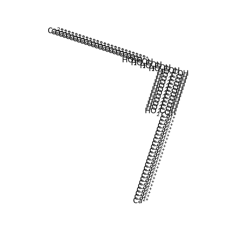 O=C(O)O.O=C(O)O.O=C(O)O.O=C(O)O.O=C(O)O.O=C(O)O.O=C(O)O.O=C(O)O.O=C(O)O.O=C(O)O.O=C(O)O.O=C(O)O.O=C(O)O.O=C(O)O.O=C(O)O.O=C(O)O.[Ca+2].[Ca+2].[Ca+2].[Ca+2].[Ca+2].[Ca+2].[Ca+2].[Ca+2].[Ca+2].[Ca+2].[Ca+2].[Ca+2].[Ca+2].[Ca+2].[Ca+2].[Ca+2].[Ca+2].[Ca+2].[Ca+2].[Ca+2].[Ca+2].[Ca+2].[Ca+2].[Ca+2].[Ca+2].[Ca+2].[Ca+2].[Ca+2].[Ca+2].[Ca+2].[Ca+2].[Ca+2].[Ca+2].[Ca+2].[Ca+2].[Ca+2].[Ca+2].[Ca+2].[Ca+2].[Ca+2].[Ca+2].[Ca+2].[Ca+2].[Ca+2].[Ca+2].[Ca+2].[Ca+2].[Ca+2].[Ca+2].[Ca+2]